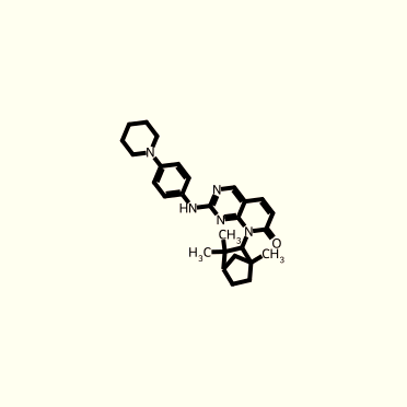 CC12CCC(C1)C(C)(C)C2n1c(=O)ccc2cnc(Nc3ccc(N4CCCCC4)cc3)nc21